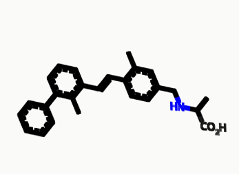 Cc1cc(CNC(C)C(=O)O)ccc1/C=C/c1cccc(-c2ccccc2)c1C